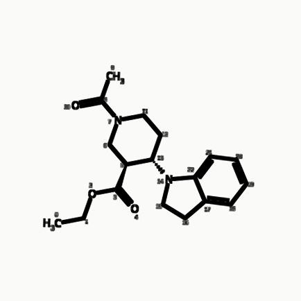 CCOC(=O)[C@H]1CN(C(C)=O)CC[C@@H]1N1CCc2ccccc21